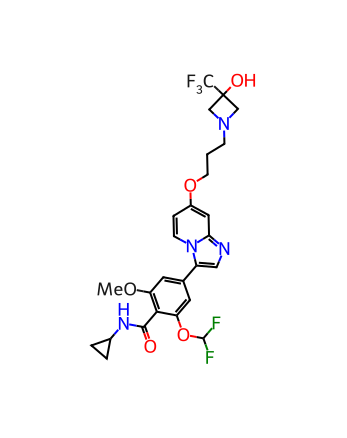 COc1cc(-c2cnc3cc(OCCCN4CC(O)(C(F)(F)F)C4)ccn23)cc(OC(F)F)c1C(=O)NC1CC1